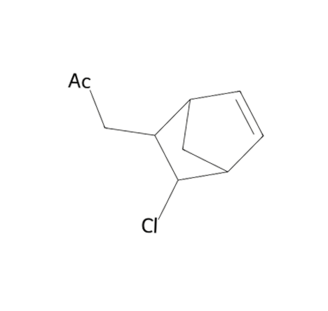 CC(=O)CC1C2C=CC(C2)C1Cl